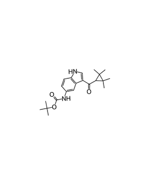 CC(C)(C)OC(=O)Nc1ccc2[nH]cc(C(=O)C3C(C)(C)C3(C)C)c2c1